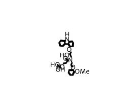 COc1ccccc1OCCN(CC(O)COc1cccc2[nH]c3ccccc3c12)C(=O)CCON(O)O